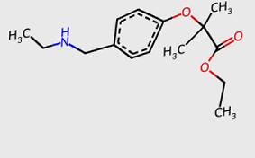 CCNCc1ccc(OC(C)(C)C(=O)OCC)cc1.Cl